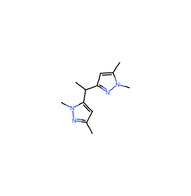 C[C](c1cc(C)n(C)n1)c1cc(C)nn1C